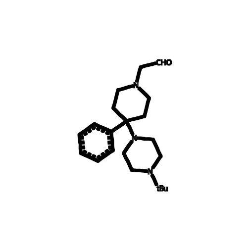 CC(C)(C)N1CCN(C2(c3ccccc3)CCN(CC=O)CC2)CC1